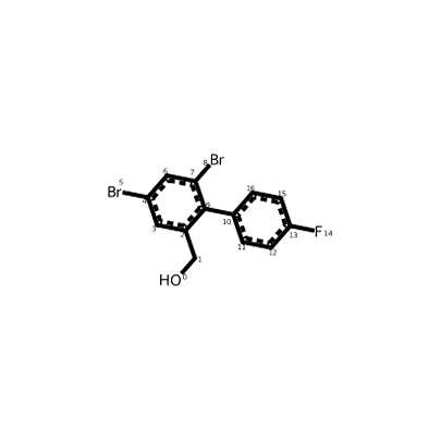 OCc1cc(Br)cc(Br)c1-c1ccc(F)cc1